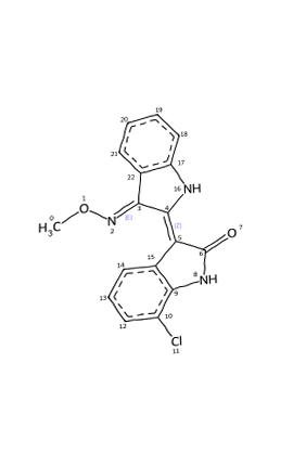 CO/N=C1/C(=C2/C(=O)Nc3c(Cl)cccc32)Nc2ccccc21